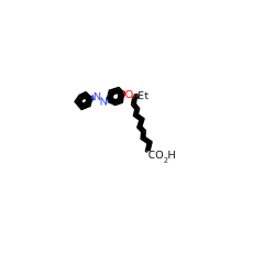 CCC(CCCCCCCCCC(=O)O)Oc1ccc(/N=N/c2ccccc2)cc1